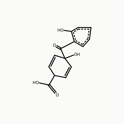 O=C(O)C1C=CC(O)(C(=O)c2ccccc2O)C=C1